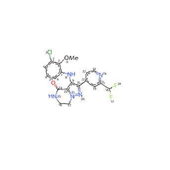 COc1c(Cl)cccc1Nc1c(-c2ccnc(C(F)F)c2)nn2c1C(=O)NCC2